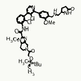 COc1cc(-c2nccc(-c3cccc(NC(=O)c4nc5c(n4C)CCN(C(=O)CO[Si](C)(C)C(C)(C)C)C5)c3Cl)c2Cl)ccc1CNCC1CCC(=O)N1